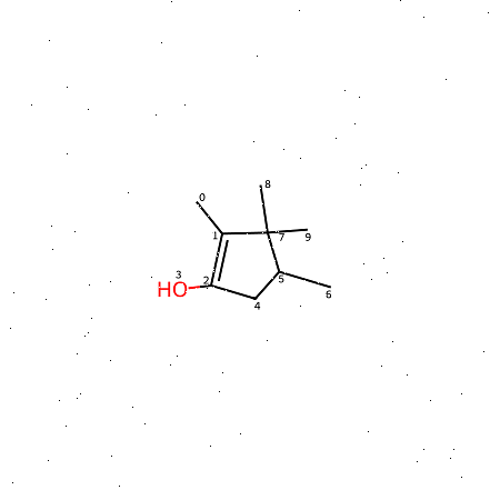 CC1=C(O)CC(C)C1(C)C